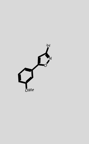 [2H]c1cc(-c2cccc(OC)c2)on1